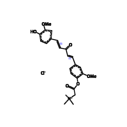 COc1cc(/C=C/C(=O)/C=C/c2ccc(OC(=O)C[N+](C)(C)C)c(OC)c2)ccc1O.[Cl-]